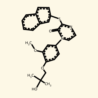 COc1cc(-n2ccnc(Sc3ccc4ccccc4c3)c2=O)ccc1OCC(C)(C)O